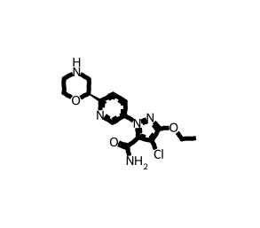 CCOc1nn(-c2ccc([C@@H]3CNCCO3)nc2)c(C(N)=O)c1Cl